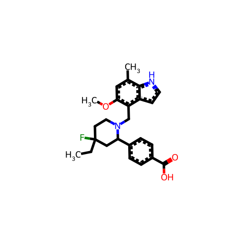 CCC1(F)CCN(Cc2c(OC)cc(C)c3[nH]ccc23)C(c2ccc(C(=O)O)cc2)C1